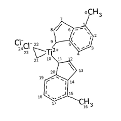 Cc1cccc2c1C=C[CH]2[Ti+2]1([CH]2C=Cc3c(C)cccc32)[CH2][CH2]1.[Cl-].[Cl-]